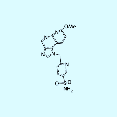 COc1ccc2c(ncc3ncn(Cc4ccc(S(N)(=O)=O)cn4)c32)n1